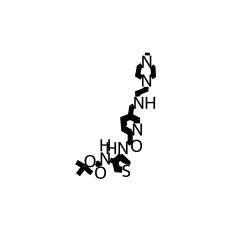 CN1CCN(CCNCc2ccc(C(=O)Nc3cscc3NC(=O)OC(C)(C)C)nc2)CC1